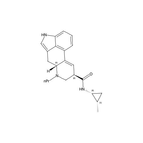 CCCN1C[C@H](C(=O)N[C@@H]2C[C@@H]2C)C=C2c3cccc4[nH]cc(c34)C[C@H]21